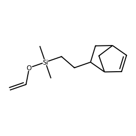 C=CO[Si](C)(C)CCC1CC2C=CC1C2